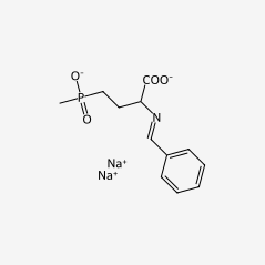 CP(=O)([O-])CCC(N=Cc1ccccc1)C(=O)[O-].[Na+].[Na+]